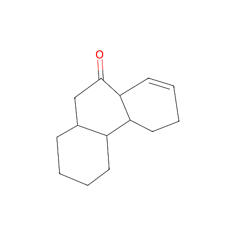 O=C1CC2CCCCC2C2CCC=CC12